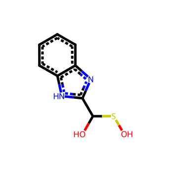 OSC(O)c1nc2ccccc2[nH]1